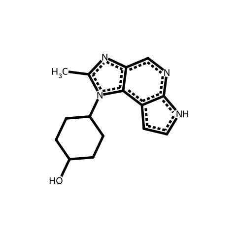 Cc1nc2cnc3[nH]ccc3c2n1C1CCC(O)CC1